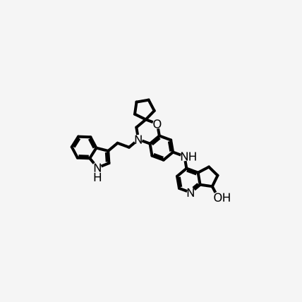 OC1CCc2c(Nc3ccc4c(c3)OC3(CCCC3)CN4CCc3c[nH]c4ccccc34)ccnc21